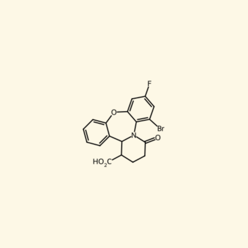 O=C(O)C1CCC(=O)N2c3c(Br)cc(F)cc3Oc3ccccc3C12